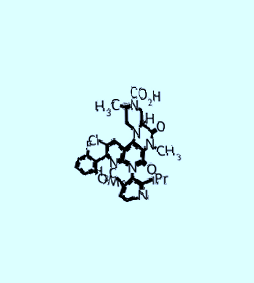 COc1cccc(F)c1-c1nc2c(cc1Cl)c1c(c(=O)n2-c2c(C)ccnc2C(C)C)N(C)C(=O)[C@H]2CN(C(=O)O)[C@H](C)CN12